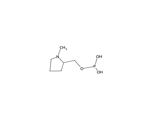 CN1CCCC1COP(O)O